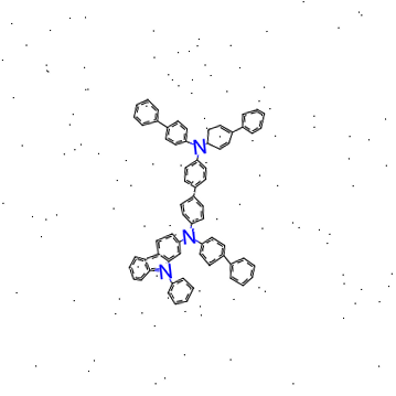 C1=CC(N(c2ccc(-c3ccccc3)cc2)c2ccc(-c3ccc(N(c4ccc(-c5ccccc5)cc4)c4ccc5c6ccccc6n(-c6ccccc6)c5c4)cc3)cc2)CC=C1c1ccccc1